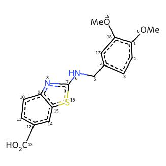 COc1ccc(CNc2nc3ccc(C(=O)O)cc3s2)cc1OC